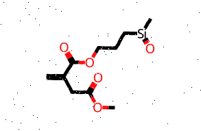 C=C(CC(=O)OC)C(=O)OCCC[Si](C)=O